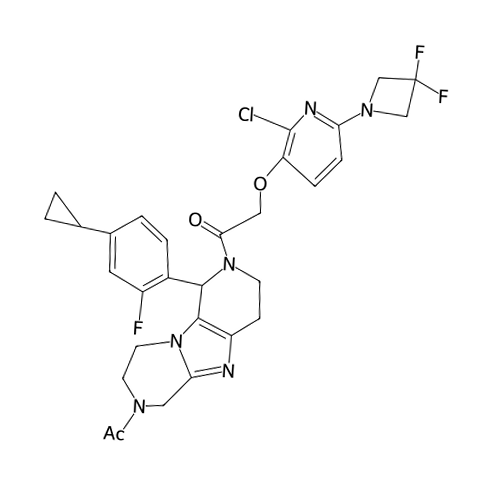 CC(=O)N1CCn2c(nc3c2C(c2ccc(C4CC4)cc2F)N(C(=O)COc2ccc(N4CC(F)(F)C4)nc2Cl)CC3)C1